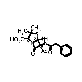 CC(=O)[C@]1(NC(=O)Cc2ccccc2)C(=O)N2[C@@H](C(=O)O)C(C)(C)S[C@@H]21